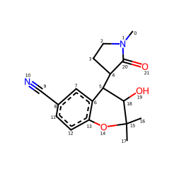 CN1CCC(C2c3cc(C#N)ccc3OC(C)(C)C2O)C1=O